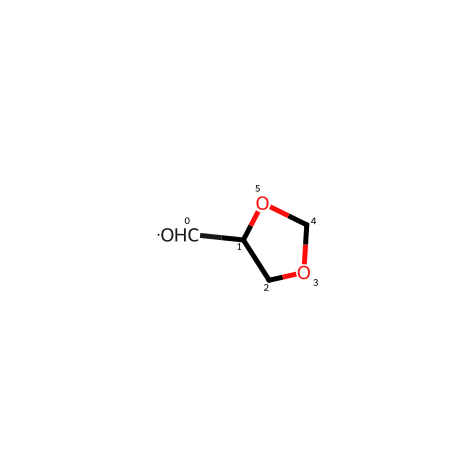 O=[C]C1COCO1